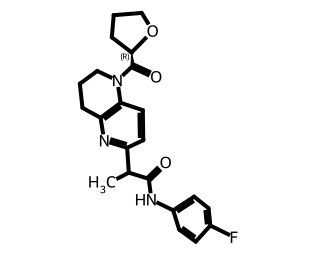 CC(C(=O)Nc1ccc(F)cc1)c1ccc2c(n1)CCCN2C(=O)[C@H]1CCCO1